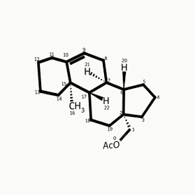 CC(=O)OC[C@@]12CCC[C@H]1[C@@H]1CC=C3CCCC[C@]3(C)[C@H]1CC2